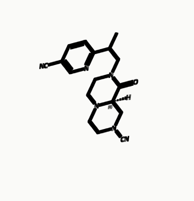 CC(CN1CCN2CCN(C#N)C[C@@H]2C1=O)c1ccc(C#N)cn1